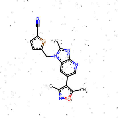 Cc1noc(C)c1-c1cnc2nc(C)n(Cc3ccc(C#N)s3)c2c1